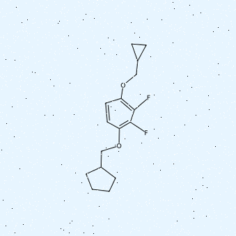 Fc1c(OCC2CCCC2)ccc(OCC2CC2)c1F